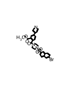 COC(=O)c1cc(-c2ccncc2)ccc1C(=O)N1CCN(S(=O)(=O)c2ccc3cc(Br)ccc3c2)CC1